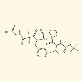 CC(C)[C@H](NC(=O)OC(C)(C)C)C(=O)N1CCC[C@H]1C(=O)NC(Cc1ccccc1)C(=O)C(F)(F)C(=O)NCC(=O)O